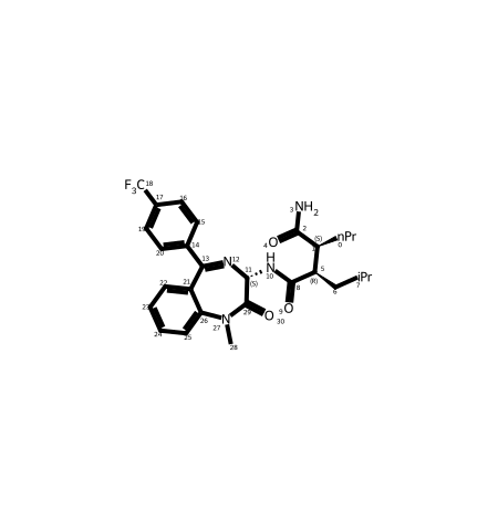 CCC[C@H](C(N)=O)[C@@H](CC(C)C)C(=O)N[C@H]1N=C(c2ccc(C(F)(F)F)cc2)c2ccccc2N(C)C1=O